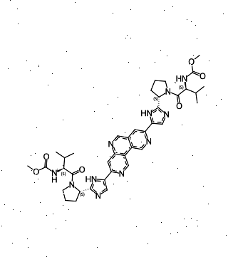 COC(=O)N[C@H](C(=O)N1CCC[C@H]1c1ncc(-c2cc3cnc4cc(-c5cnc([C@@H]6CCCN6C(=O)[C@@H](NC(=O)OC)C(C)C)[nH]5)ncc4c3cn2)[nH]1)C(C)C